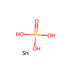 O=P(O)(O)O.[Sn]